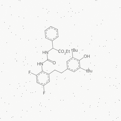 CCOC(=O)C(NC(=O)Nc1c(F)cc(F)cc1CCc1cc(C(C)(C)C)c(O)c(C(C)(C)C)c1)c1ccccc1